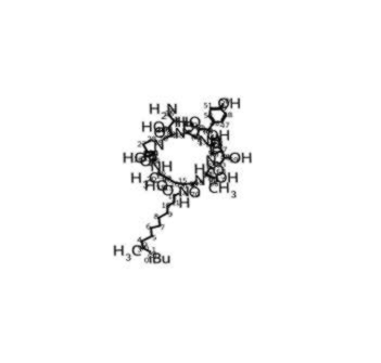 CC[C@H](C)C[C@H](C)CCCCCCCCC(=O)N[C@H]1C[C@@H](O)[C@@H](C)NC(=O)[C@@H]2[C@@H](O)CCN2C(=O)[C@H]([C@H](O)CCN)NC(=O)[C@H]([C@H](O)[C@@H](O)c2ccc(O)cc2)NC(=O)[C@@H]2C[C@@H](O)CN2C(=O)[C@H]([C@@H](C)O)NC1=O